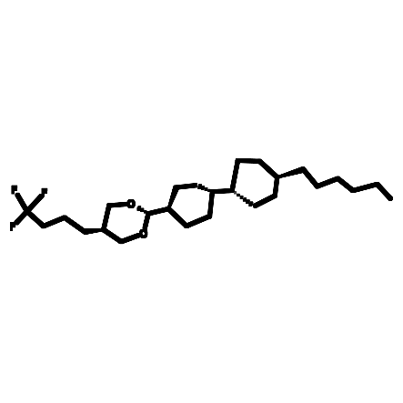 CCCCCC[C@H]1CC[C@H]([C@H]2CC[C@H]([C@H]3OC[C@H](CCCC(F)(F)F)CO3)CC2)CC1